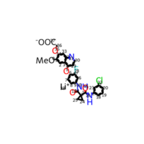 COc1cc2c(Oc3ccc(NC(=O)C4(C(=O)Nc5cccc(Cl)c5)CC4)cc3F)ccnc2cc1OCC(=O)[O-].[Li+]